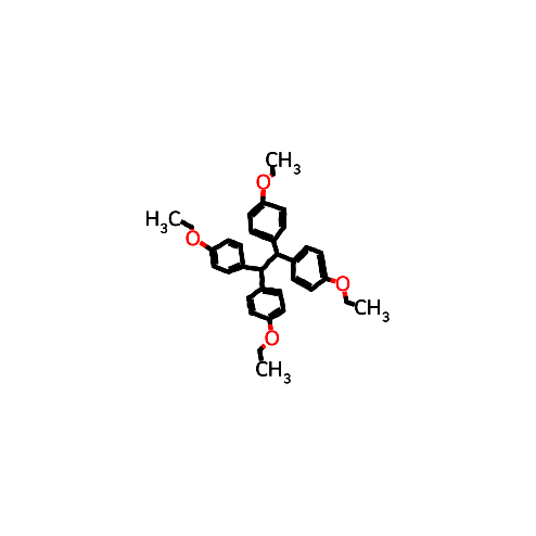 CCOc1ccc(C(c2ccc(OCC)cc2)C(c2ccc(OCC)cc2)c2ccc(OCC)cc2)cc1